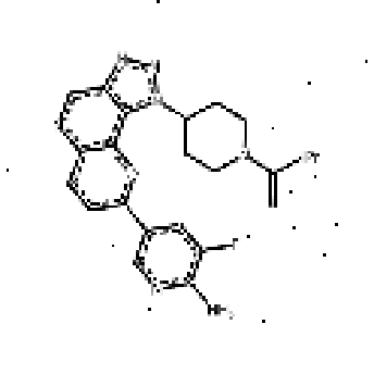 C=C(C(C)C)N1CCC(n2nnc3cnc4ccc(-c5cnc(N)c(F)c5)nc4c32)CC1